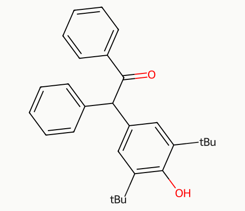 CC(C)(C)c1cc(C(C(=O)c2ccccc2)c2ccccc2)cc(C(C)(C)C)c1O